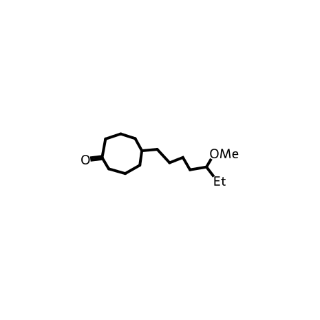 CCC(CCCCC1CCCC(=O)CCC1)OC